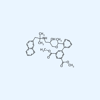 COC(=O)c1cc(C(=O)OC)cc(-c2ccccc2C(C)OC[C@H](O)CNC(C)(C)Cc2ccc3ccccc3c2)c1